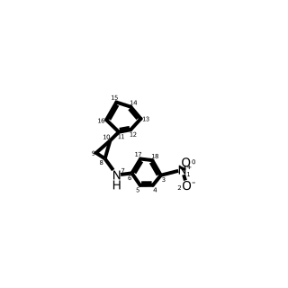 O=[N+]([O-])c1ccc(NC2CC2c2ccccc2)cc1